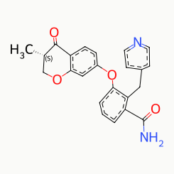 C[C@H]1COc2cc(Oc3cccc(C(N)=O)c3Cc3ccncc3)ccc2C1=O